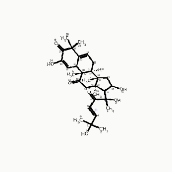 CC(C)(O)/C=C/C(=O)C(C)(O)C1C(O)C[C@@]2(C)[C@@H]3CC=C4C(C=C(O)C(=O)C4(C)C)[C@@]3(C)C(=O)C[C@]12C